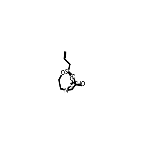 C=CC[Si]12OCCN(CC(C)O1)CC(C=O)O2